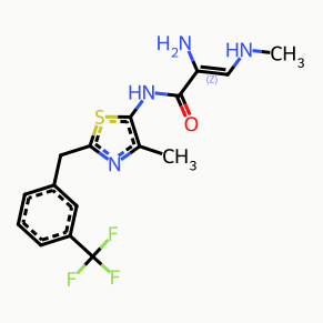 CN/C=C(\N)C(=O)Nc1sc(Cc2cccc(C(F)(F)F)c2)nc1C